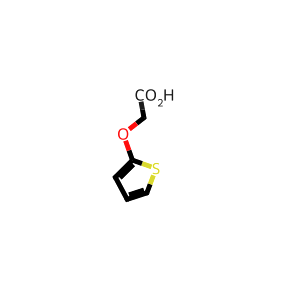 O=C(O)COc1cccs1